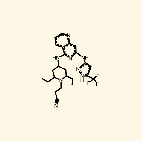 CCC1CC(Nc2nc(Nc3cc(C(F)(F)F)[nH]n3)cc3ncccc23)CC(CC)N1CCC#N